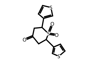 O=C1CC(c2ccsc2)S(=O)(=O)C(c2ccsc2)C1